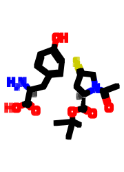 CC(=O)N1CC(=S)C[C@H]1C(=O)OC(C)(C)C.N[C@@H](Cc1ccc(O)cc1)C(=O)O